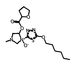 CCCCCCOc1nnc([N+]2([O-])CN(C)CC2OC(=O)C2CCCO2)s1